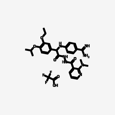 CCOc1cc(C(Nc2ccc(C(=N)N)cc2)C(=O)NNC(=O)c2cccnc2N(C)C)ccc1OC(C)C.O=C(O)C(F)(F)F